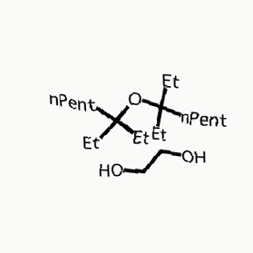 CCCCCC(CC)(CC)OC(CC)(CC)CCCCC.OCCO